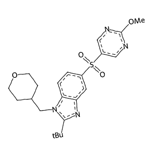 COc1ncc(S(=O)(=O)c2ccc3c(c2)nc(C(C)(C)C)n3CC2CCOCC2)cn1